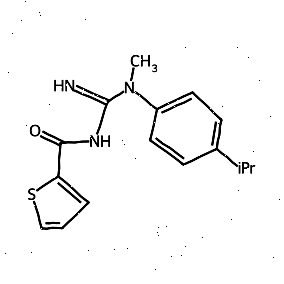 CC(C)c1ccc(N(C)C(=N)NC(=O)c2cccs2)cc1